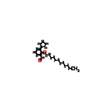 CCCCCCCCCCCCOc1c(C=O)cccc1C1CCCC1